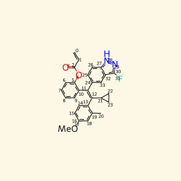 C=CC(=O)Oc1ccccc1/C(=C(\c1ccc(OC)cc1C)C1CC1)c1ccc2[nH]nc(F)c2c1